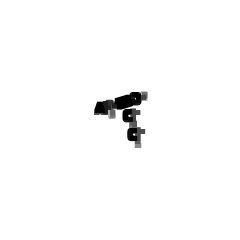 [Cl-].[Cl-].[O]=[Al+2]